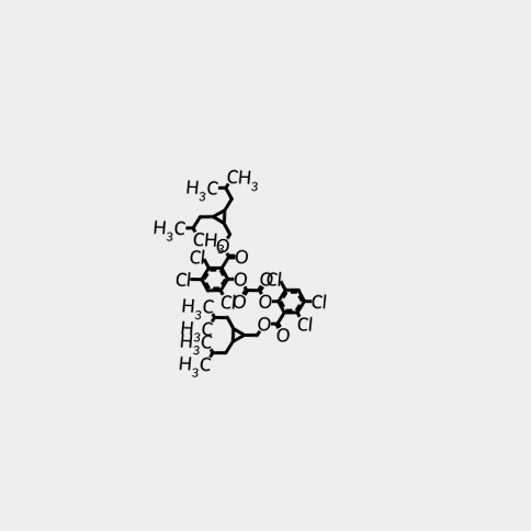 CC(C)CC1C(COC(=O)c2c(Cl)c(Cl)cc(Cl)c2OC(=O)C(=O)Oc2c(Cl)cc(Cl)c(Cl)c2C(=O)OCC2C(CC(C)C)C2CC(C)C)C1CC(C)C